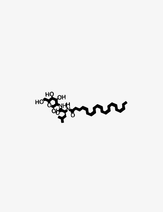 CC/C=C\C/C=C\C/C=C\C/C=C\C/C=C\C/C=C\CCC(=O)N[C@@H](CC(C)C)C(=O)NC1[C@H](O)OC(CO)[C@@H](O)[C@H]1O